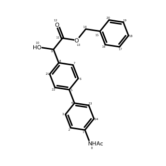 CC(=O)Nc1ccc(-c2ccc(C(O)C(=O)OCc3ccccc3)cc2)cc1